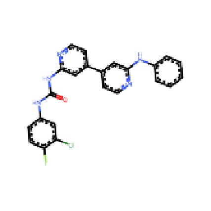 O=C(Nc1ccc(F)c(Cl)c1)Nc1cc(-c2ccnc(Nc3ccccc3)c2)ccn1